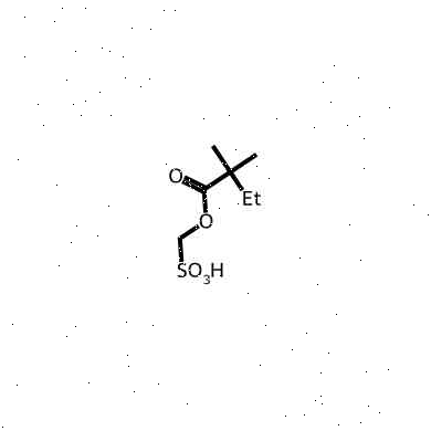 CCC(C)(C)C(=O)OCS(=O)(=O)O